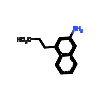 Nc1cc(CCC(=O)O)c2ccccc2c1